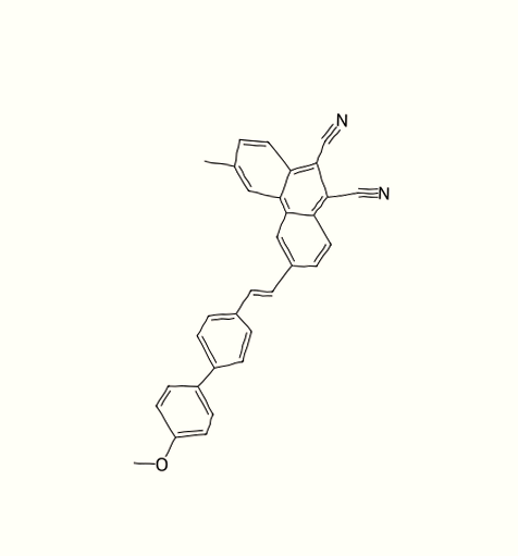 COc1ccc(-c2ccc(C=Cc3ccc4c(C#N)c(C#N)c5ccc(C)cc5c4c3)cc2)cc1